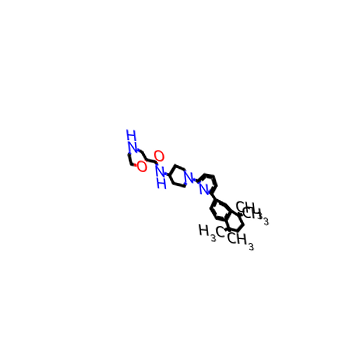 CC1(C)CCC(C)(C)c2cc(-c3cccc(N4CCC(NC(=O)C5CNCCO5)CC4)n3)ccc21